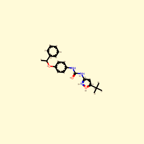 CC(Oc1ccc(NC(=O)Nc2cc(C(C)(C)C)on2)cc1)c1ccccc1